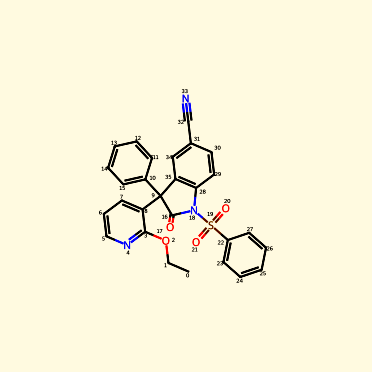 CCOc1ncccc1C1(c2[c]cccc2)C(=O)N(S(=O)(=O)c2ccccc2)c2ccc(C#N)cc21